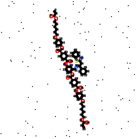 C=CC(=O)OCCCCCCOc1ccc(OC(=O)[C@H]2CC[C@H](C(=O)Oc3ccc(OC(=O)[C@H]4CC[C@H](C(=O)Oc5ccc(OCCCCCCOC(=O)C=C)cc5)CC4)c(/C=N/C(Cc4nc5ccccc5s4)C4CCCCC4)c3)CC2)cc1